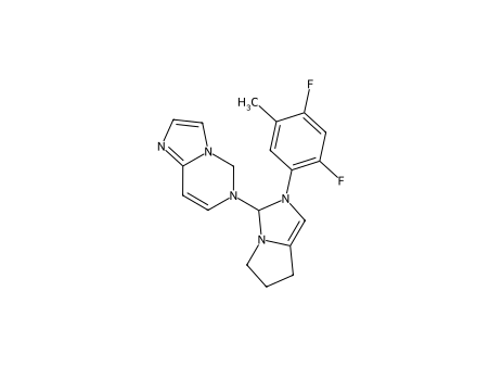 Cc1cc(N2C=C3CCCN3C2N2C=Cc3nccn3C2)c(F)cc1F